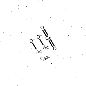 CC(=O)[O-].CC(=O)[O-].[Ca+2].[O]=[Ge]=[O]